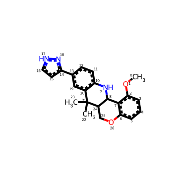 COc1cccc2c1C1Nc3ccc(-c4cc[nH]n4)cc3C(C)(C)C1CO2